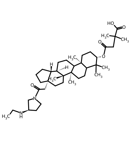 CCN[C@@H]1CCN(C(=O)C[C@]23CCC[C@@H]2[C@H]2CCC4[C@@]5(C)CC[C@H](OC(=O)CC(C)(C)C(=O)O)C(C)(C)C5CC[C@@]4(C)[C@]2(C)CC3)C1